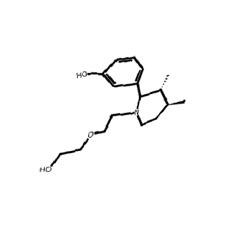 C[C@H]1CCN(CCOCCO)C(c2cccc(O)c2)[C@@H]1C